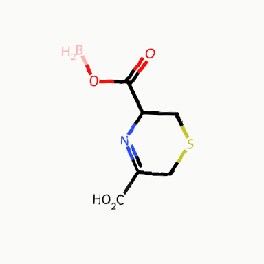 BOC(=O)C1CSCC(C(=O)O)=N1